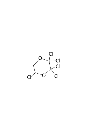 ClC1COC(Cl)(Cl)C(Cl)(Cl)O1